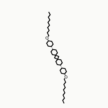 CCCCCCCCCCO[C@H]1CC[C@H](C2CCC3(CC2)CC2(CCC([C@H]4CC[C@H](OCCCCCCCCCC)CC4)CC2)C3)CC1